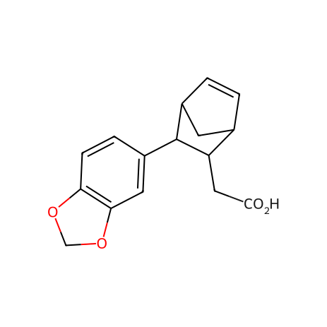 O=C(O)CC1C2C=CC(C2)C1c1ccc2c(c1)OCO2